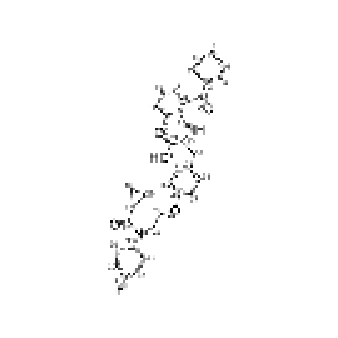 O=C(c1ccccc1)c1ccccc1N[C@@H](Cc1ccc(OCCN(C(=O)C2CC2)c2ccc(F)cc2)cc1)C(=O)O